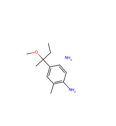 CCC(C)(OC)c1ccc(N)c(C)c1.N